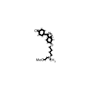 COCCN(C)CCCCOc1ccc2c(-c3ccc(Cl)cc3)nsc2c1